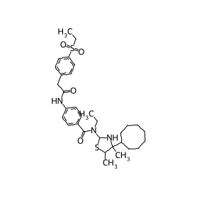 CCN(C(=O)c1ccc(NC(=O)Cc2ccc(S(=O)(=O)CC)cc2)cc1)C1NC(C)(C2CCCCCCC2)C(C)S1